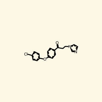 O=C(CCn1ccnc1)c1ccc(Oc2ccc(Cl)cc2)cc1